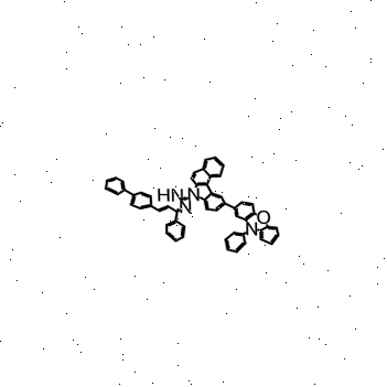 N=C(/N=C(\C=C\c1ccc(-c2ccccc2)cc1)c1ccccc1)n1c2ccc(-c3ccc4c(c3)N(c3ccccc3)c3ccccc3O4)cc2c2c3ccccc3ccc21